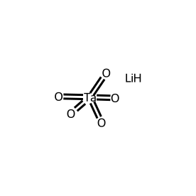 [LiH].[O]=[Ta](=[O])(=[O])(=[O])=[O]